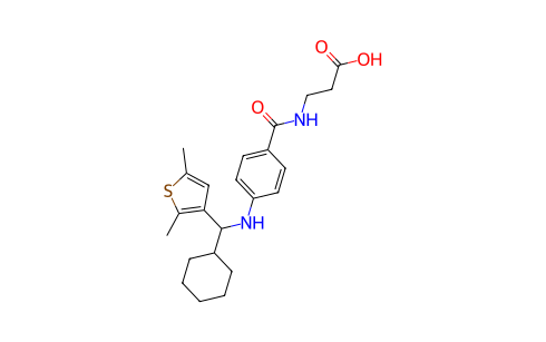 Cc1cc(C(Nc2ccc(C(=O)NCCC(=O)O)cc2)C2CCCCC2)c(C)s1